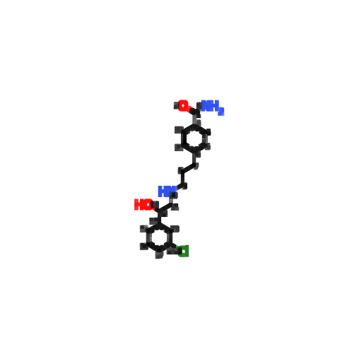 NC(=O)c1ccc(CCCNCC(O)c2cccc(Cl)c2)cc1